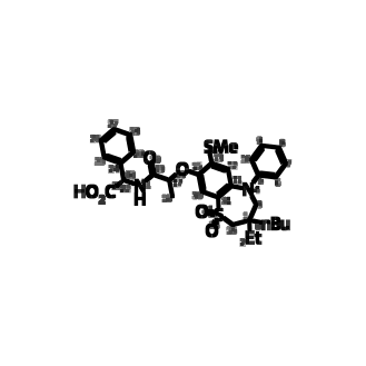 CCCCC1(CC)CN(c2ccccc2)c2cc(SC)c(OC(C)C(=O)N[C@@H](C(=O)O)c3ccccc3)cc2S(=O)(=O)C1